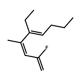 C=C(F)/C=C(/C)C(=CCCC)CC